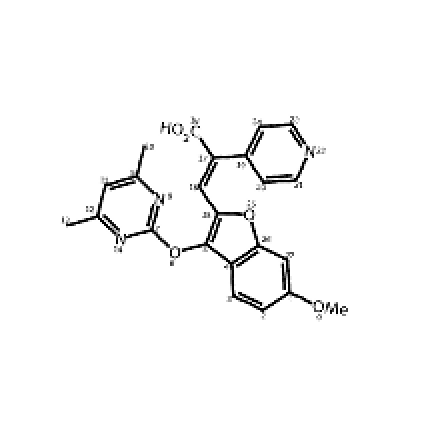 COc1ccc2c(Oc3nc(C)cc(C)n3)c(C=C(C(=O)O)c3ccncc3)oc2c1